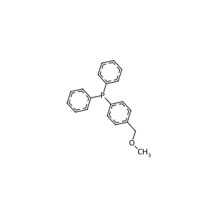 COCc1ccc(P(c2ccccc2)c2ccccc2)cc1